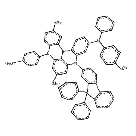 CC(C)(C)c1ccc(N(c2ccccc2)c2ccc3c(c2)N(c2ccc4c(c2)C(c2ccccc2)(c2ccccc2)c2ccccc2-4)c2cc(C(C)(C)C)cc4c2B3c2cc(C(C)(C)C)ccc2N4c2ccc(C(C)(C)C)cc2)cc1